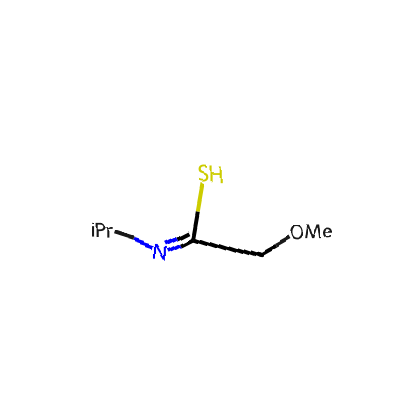 COC/C(S)=N/C(C)C